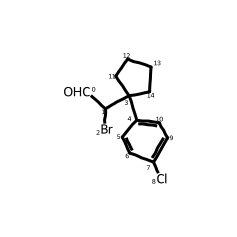 O=CC(Br)C1(c2ccc(Cl)cc2)CCCC1